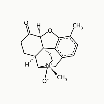 Cc1ccc2c3c1O[C@@H]1C(=O)CC[C@@H]4C(C2)[N@@+](C)([O-])CC[C@@]314